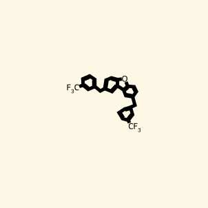 FC(F)(F)c1cccc(Cc2ccc3oc4ccc(Cc5cccc(C(F)(F)F)c5)cc4c3c2)c1